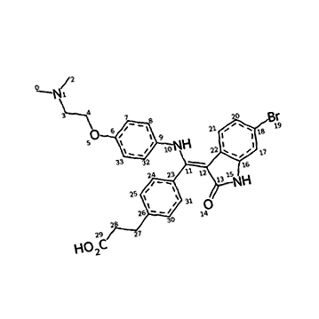 CN(C)CCOc1ccc(NC(=C2C(=O)Nc3cc(Br)ccc32)c2ccc(CCC(=O)O)cc2)cc1